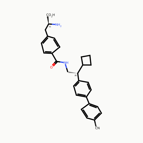 N#Cc1ccc(-c2ccc([C@H](CNC(=O)c3ccc(C[C@H](N)C(=O)O)cc3)C3CCC3)cc2)cc1